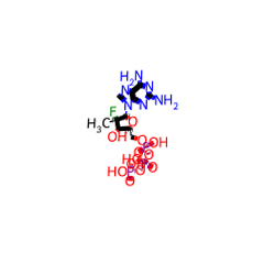 C[C@@]1(F)C(O)[C@@H](COP(=O)(O)OP(=O)(O)OP(=O)(O)O)O[C@H]1n1cnc2c(N)nc(N)nc21